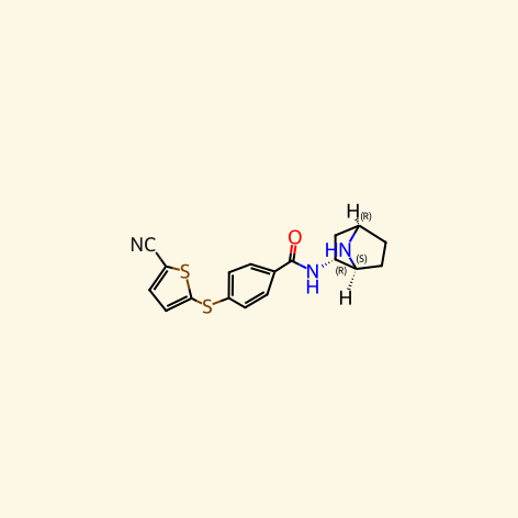 N#Cc1ccc(Sc2ccc(C(=O)N[C@@H]3C[C@H]4CC[C@@H]3N4)cc2)s1